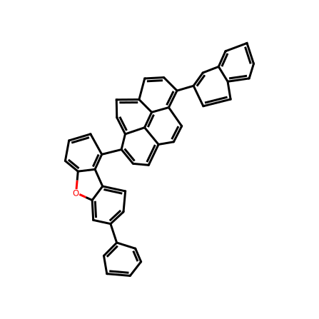 c1ccc(-c2ccc3c(c2)oc2cccc(-c4ccc5ccc6c(-c7ccc8ccccc8c7)ccc7ccc4c5c76)c23)cc1